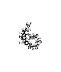 CCN(CC)CCNC(=O)c1c(C)[nH]c(/C=C2\C(=O)Nc3ccc(OC(=O)C(C)OC(=O)C(C)OC(=O)C(C)OC(=O)C(C)OC(C)=O)cc32)c1C